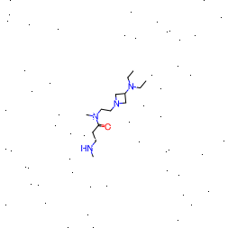 CCN(CC)C1CN(CCN(C)C(=O)CCNC)C1